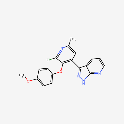 COc1ccc(Oc2c(-c3n[nH]c4ncccc34)cc(C)nc2Cl)cc1